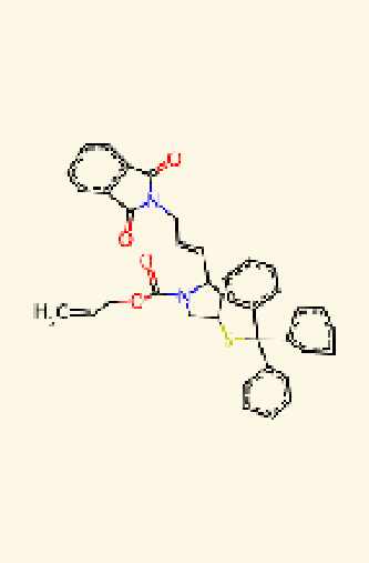 C=CCOC(=O)N1CC(SC(c2ccccc2)(c2ccccc2)c2ccccc2)CC1C=CCN1C(=O)c2ccccc2C1=O